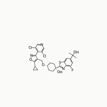 CC(C)(O)c1cc(F)c2nc([C@]3(O)CC[C@@H](OCc4c(-c5c(Cl)cncc5Cl)noc4C4CC4)CC3)sc2c1